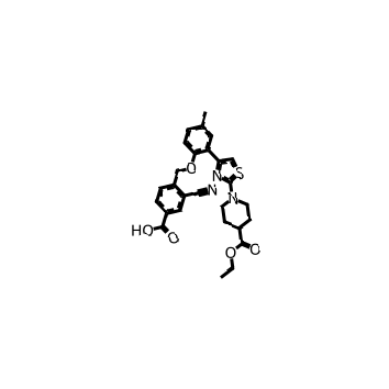 CCOC(=O)C1CCN(c2nc(-c3cc(C)ccc3OCc3ccc(C(=O)O)cc3C#N)cs2)CC1